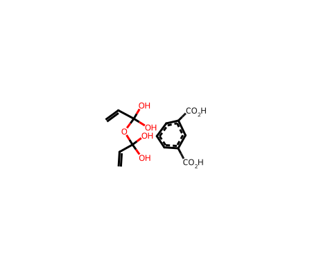 C=CC(O)(O)OC(O)(O)C=C.O=C(O)c1cccc(C(=O)O)c1